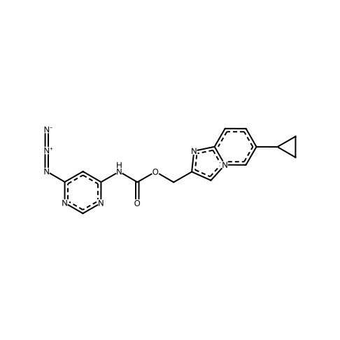 [N-]=[N+]=Nc1cc(NC(=O)OCc2cn3cc(C4CC4)ccc3n2)ncn1